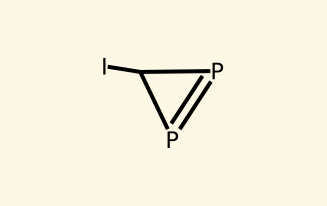 IC1P=P1